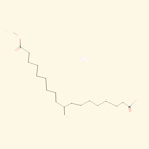 COC(=O)CCCCCCCCC(C)CCCCCCCC(=O)O.N